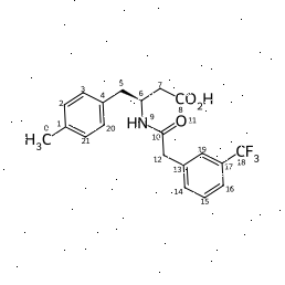 Cc1ccc(C[C@@H](CC(=O)O)NC(=O)Cc2cccc(C(F)(F)F)c2)cc1